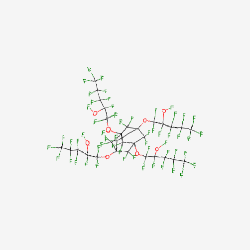 FOC(F)(C(F)(F)OC12C(F)(F)C3(OC(F)(F)C(F)(OF)C(F)(F)C(F)(F)C(F)(F)F)C(F)(F)C(OC(F)(F)C(F)(OF)C(F)(F)C(F)(F)C(F)(F)F)(C1(F)F)C(F)(F)C(OC(F)(F)C(F)(OF)C(F)(F)C(F)(F)C(F)(F)F)(C2(F)F)C3(F)F)C(F)(F)C(F)(F)C(F)(F)F